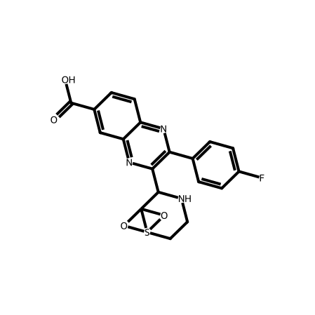 O=C(O)c1ccc2nc(-c3ccc(F)cc3)c(C3NCCS45OC34O5)nc2c1